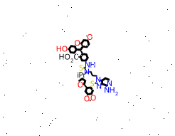 CC(C)N(CCCn1c(Sc2cc3c(cc2-c2ccco2)OCO3)nc2c(N)nccc21)C(=S)Nc1ccc(-c2c3ccc(=O)cc-3oc3cc(O)ccc23)c(C(=O)O)c1